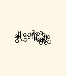 CC(C)(C)C(=O)N1CCC[C@@](O)(c2cccc(C(=O)N[C@@H](C(=O)N3CCC(OC4CCN(CC(=O)N5CCN(C(=O)c6cc(Cc7n[nH]c(=O)c8ccccc78)ccc6F)CC5)CC4)CC3)C3CCCCC3)c2F)C1